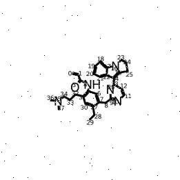 C=CC(=O)Nc1cc(Cc2nccc(-c3c4n(c5ccccc35)CCC4)n2)c(CC)cc1CCCN(C)C